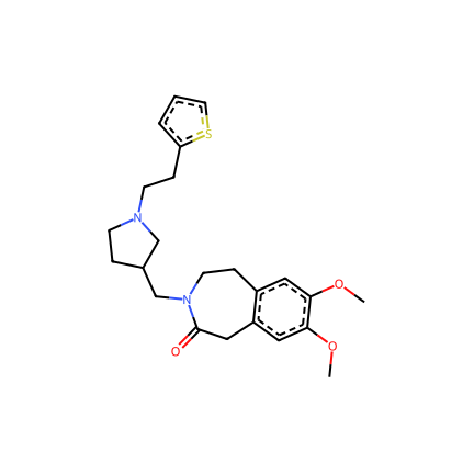 COc1cc2c(cc1OC)CC(=O)N(CC1CCN(CCc3cccs3)C1)CC2